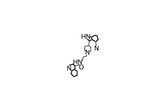 N#Cc1cccc2[nH]cc(C3CCN(CCCNC(=O)c4ccnc5ccccc45)CC3)c12